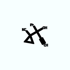 C#CC(O)(C(C)C)C1(C#N)CC1